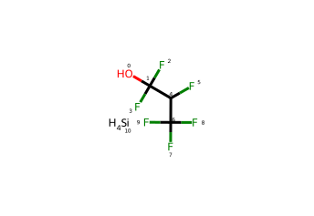 OC(F)(F)C(F)C(F)(F)F.[SiH4]